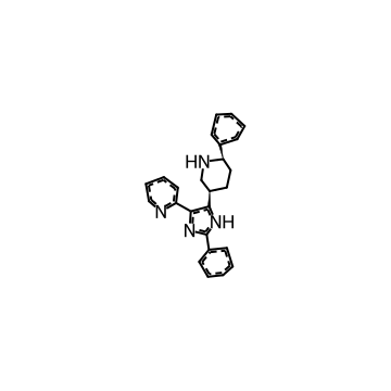 c1ccc(-c2nc(-c3ccccn3)c([C@@H]3CC[C@H](c4ccccc4)NC3)[nH]2)cc1